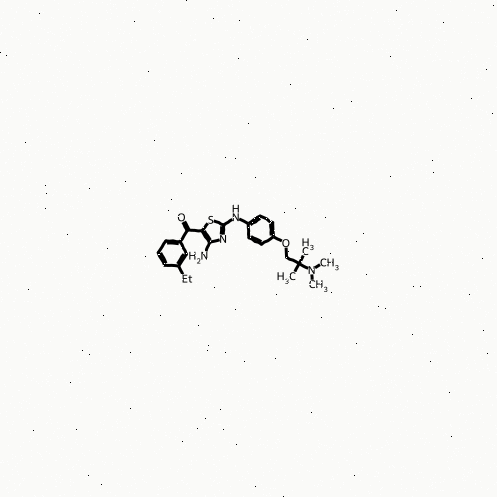 CCc1cccc(C(=O)c2sc(Nc3ccc(OCC(C)(C)N(C)C)cc3)nc2N)c1